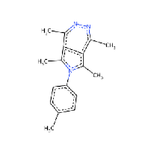 Cc1ccc(-n2c(C)c3c(C)nnc(C)c3c2C)cc1